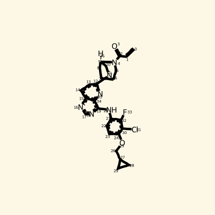 C=CC(=O)N1CC2CC[C@@H]1CN2c1ccc2ncnc(Nc3ccc(OCC4CC4)c(Cl)c3F)c2n1